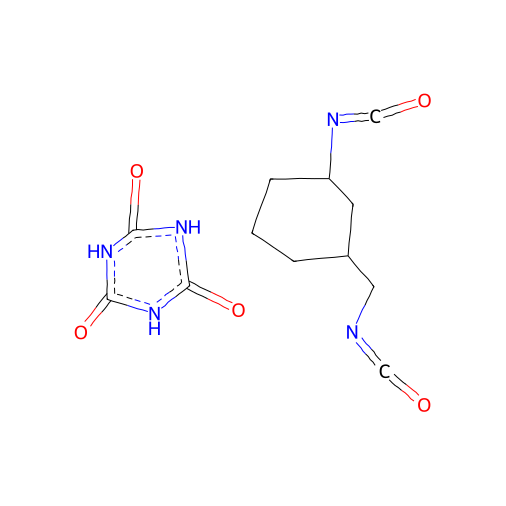 O=C=NCC1CCCC(N=C=O)C1.O=c1[nH]c(=O)[nH]c(=O)[nH]1